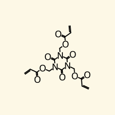 C=CC(=O)OCn1c(=O)n(COC(=O)C=C)c(=O)n(COC(=O)C=C)c1=O